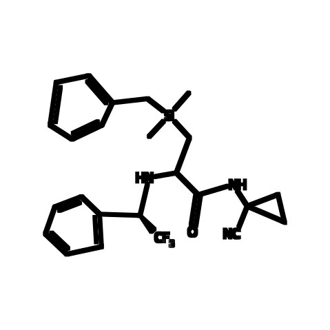 C[Si](C)(Cc1ccccc1)CC(N[C@H](c1ccccc1)C(F)(F)F)C(=O)NC1(C#N)CC1